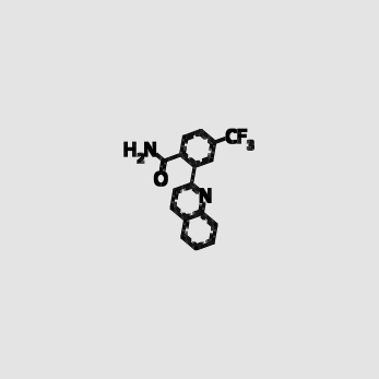 NC(=O)c1ccc(C(F)(F)F)cc1-c1ccc2ccccc2n1